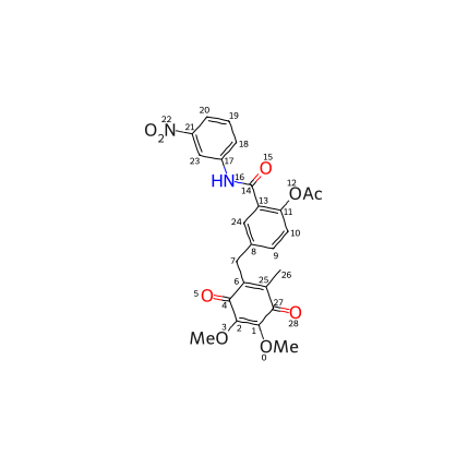 COC1=C(OC)C(=O)C(Cc2ccc(OC(C)=O)c(C(=O)Nc3cccc([N+](=O)[O-])c3)c2)=C(C)C1=O